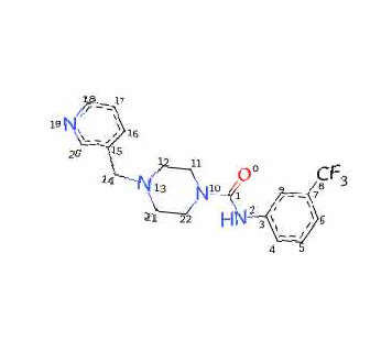 O=C(Nc1cccc(C(F)(F)F)c1)N1CCN(Cc2cccnc2)CC1